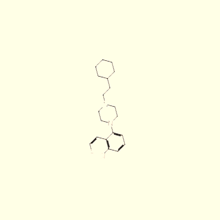 CC/C=C\c1c(S)cccc1N1CCN(CCC2CCCCC2)CC1